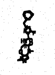 CN1C(=O)[C@@H](NC(=O)c2nn(Cc3ccccc3)cc2F)COc2c1cnn2C